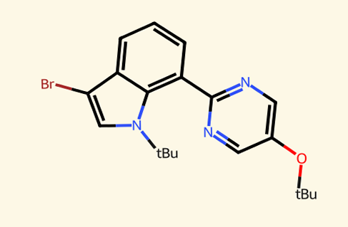 CC(C)(C)Oc1cnc(-c2cccc3c(Br)cn(C(C)(C)C)c23)nc1